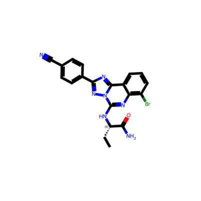 CC[C@H](Nc1nc2c(Br)cccc2c2nc(-c3ccc(C#N)cc3)nn12)C(N)=O